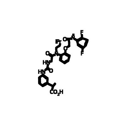 CC(C)CCN(C(=O)CNC(=O)Nc1cccc(C(C)C(=O)O)c1)c1ccccc1OCC(=O)N(C)c1cc(F)ccc1F